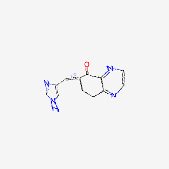 O=C1/C(=C/c2c[nH]cn2)CCc2nccnc21